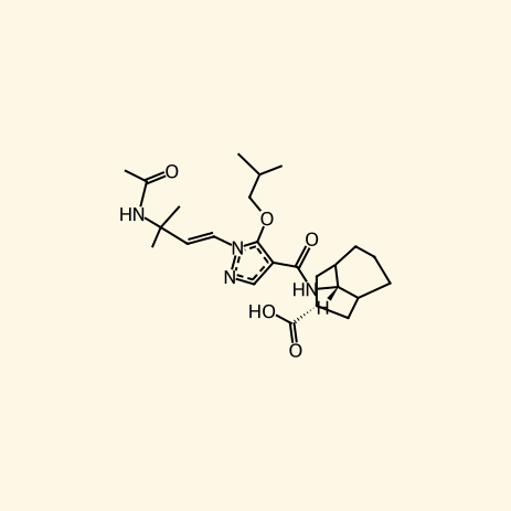 CC(=O)NC(C)(C)/C=C/n1ncc(C(=O)N[C@H]2C3CCCC2C[C@@H](C(=O)O)C3)c1OCC(C)C